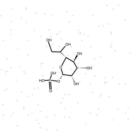 O=P(O)(O)O[C@@H]1O[C@H](C(O)CO)[C@@H](O)[C@H](O)[C@@H]1O